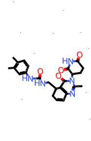 Cc1ccc(NC(=O)NCC2CC=Cc3nc(C)n(C4CCC(=O)NC4=O)c(=O)c32)cc1C